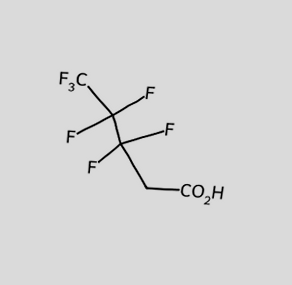 O=C(O)CC(F)(F)C(F)(F)C(F)(F)F